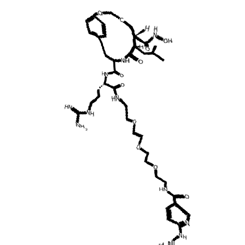 CC(C)C[C@H]1C(=O)NC(C(=O)N[C@@H](CCCNC(=N)N)C(=O)NCCOCCOCCOCCNC(=O)c2ccc(NN)nc2)Cc2ccc(cc2)OCCC[C@@H]1C(=O)NO